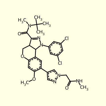 CNC(=O)Cn1cc(-c2cc3c(cc2OC)OCC2C(C(=O)N(C)C(C)(C)C)=NN(c4cc(Cl)cc(Cl)c4)C32)cn1